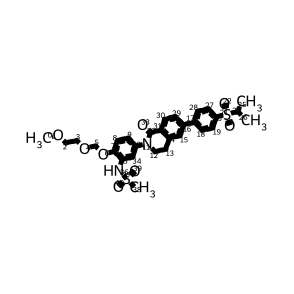 COCCOCOc1ccc(N2CCc3cc(-c4ccc(S(=O)(=O)C(C)C)cc4)ccc3C2=O)cc1NS(C)(=O)=O